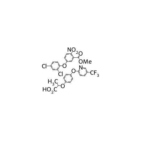 CC(Oc1ccc(Oc2ccc(C(F)(F)F)cn2)cc1)C(=O)O.COC(=O)c1cc(Oc2ccc(Cl)cc2Cl)ccc1[N+](=O)[O-]